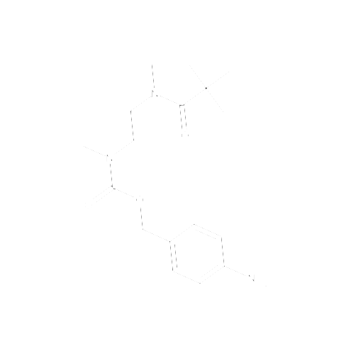 CN(CCN(C)C(=O)C(C)(C)C)C(=O)OCc1ccc(N)cc1